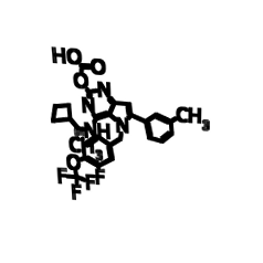 Cc1cccc(-c2cc3nc(OC(=O)O)nc(N[C@H](C)C4CCC4)c3n2Cc2ccc(OC(F)(F)F)c(F)c2)c1